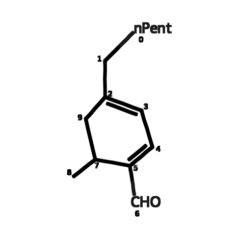 CCCCCCC1=CC=C(C=O)C(C)C1